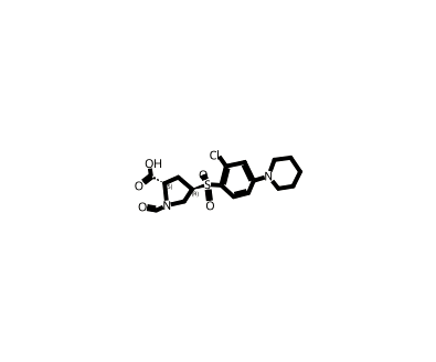 O=CN1C[C@H](S(=O)(=O)c2ccc(N3CCCCC3)cc2Cl)C[C@H]1C(=O)O